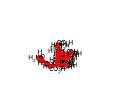 Nc1nc2ncc(CNc3ccc(C(=O)N[C@@H](CCC(=O)N[C@@H](CCC(=O)NC[C@H](O)[C@@H](O)[C@H](O)[C@H](O)CO)C(=O)N[C@@H](CCC(=O)O)C(=O)N[C@@H](CCC(=O)NC[C@H](O)[C@@H](O)[C@H](O)[C@H](O)CO)C(=O)N[C@@H](CCC(=O)O)C(=O)N[C@@H](CCC(=O)NC[C@H](O)[C@@H](O)[C@H](O)[C@H](O)CO)C(=O)NC[C@H](N)C(=O)N[C@@H](CC(=O)O)C(=O)N[C@@H](CS)C(=O)O)C(=O)O)cc3)nc2c(=O)[nH]1